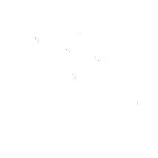 CC(C)N1C(N)c2ccccc2N(c2cccc(Cl)c2)C1N